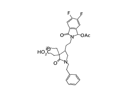 CC(=O)OC1c2cc(F)c(F)cc2C(=O)N1CCC1CN(CCc2ccccc2)C(=O)C1(CC(=O)O)CC(C)C